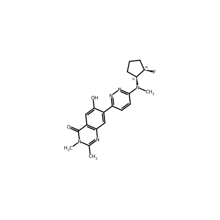 Cc1nc2cc(-c3ccc(N(C)[C@H]4CCC[C@H]4F)nn3)c(O)cc2c(=O)n1C